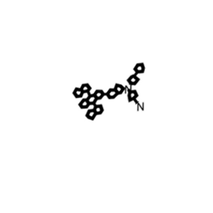 N#Cc1ccc(N(c2ccc(-c3ccccc3)cc2)c2ccc3cc(-c4ccc5c(-c6cccc7ccccc67)c6ccccc6c(-c6cccc7ccccc67)c5c4)ccc3c2)cc1